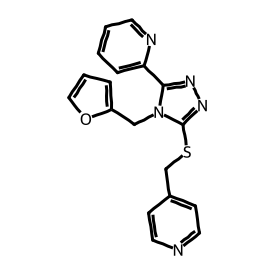 c1ccc(-c2nnc(SCc3ccncc3)n2Cc2ccco2)nc1